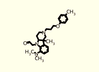 Cc1ccc(OCCCN2CCC3N(CC=O)c4c(N(C)C)cccc4C3(C)C2)cc1